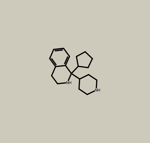 c1ccc2c(c1)CCNC2(C1CCCC1)C1CCNCC1